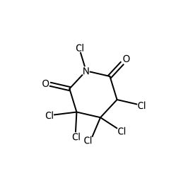 O=C1C(Cl)C(Cl)(Cl)C(Cl)(Cl)C(=O)N1Cl